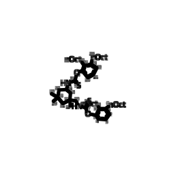 CCCCCCCCc1cccc(OC(=S)NCC2(C)CC(NC(=S)Oc3cccc(CCCCCCCC)c3CCCCCCCC)CC(C)(C)C2)c1CCCCCCCC